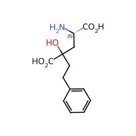 N[C@@H](CC(O)(CCc1ccccc1)C(=O)O)C(=O)O